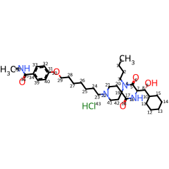 CCCCN1C(=O)[C@@H]([C@H](O)C2CCCCC2)NC(=O)C12CCN(CCCCCCCOc1ccc(C(=O)NC)cc1)CC2.Cl